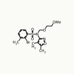 COCCOCN(c1noc(C)c1C)S(=O)(=O)c1cccc(C)c1Br